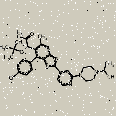 CC(=O)[C@@H](OC(C)(C)C)c1c(C)cc2nc(-c3ccnc(N4CCN(C(C)C)CC4)c3)sc2c1-c1ccc(Cl)cc1